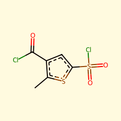 Cc1sc(S(=O)(=O)Cl)cc1C(=O)Cl